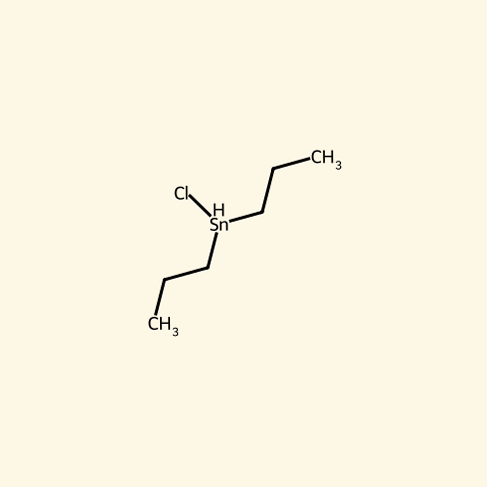 CC[CH2][SnH]([Cl])[CH2]CC